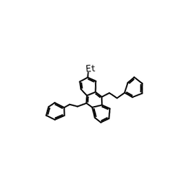 CCc1ccc2c(CCc3ccccc3)c3ccccc3c(CCc3ccccc3)c2c1